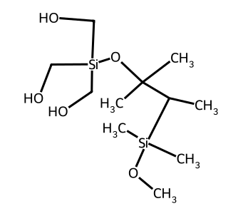 CO[Si](C)(C)C(C)C(C)(C)O[Si](CO)(CO)CO